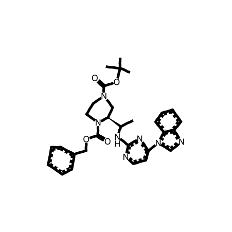 CC(Nc1nccc(-n2cnc3ccccc32)n1)[C@@H]1CN(C(=O)OC(C)(C)C)CCN1C(=O)OCc1ccccc1